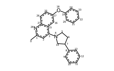 Cc1cc(N2CCC(c3ccccc3)C2)c2cc(Oc3ccccc3)ccc2n1